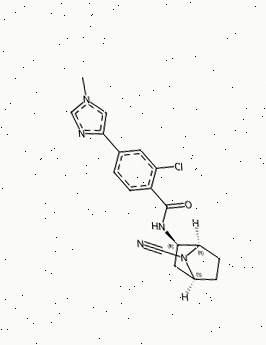 Cn1cnc(-c2ccc(C(=O)N[C@@H]3C[C@@H]4CC[C@H]3N4C#N)c(Cl)c2)c1